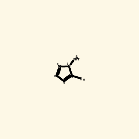 CCCn1nccc1I